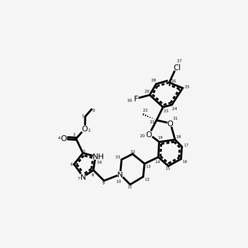 CCOC(=O)c1cnc(CN2CCC(c3cccc4c3O[C@@](C)(c3ccc(Cl)cc3F)O4)CC2)[nH]1